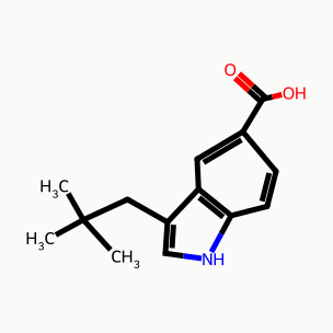 CC(C)(C)Cc1c[nH]c2ccc(C(=O)O)cc12